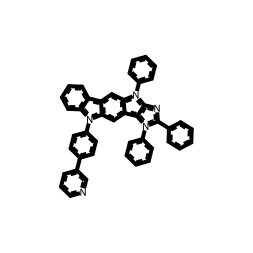 c1ccc(-c2nc3c(c4cc5c(cc4n3-c3ccccc3)c3ccccc3n5-c3ccc(-c4cccnc4)cc3)n2-c2ccccc2)cc1